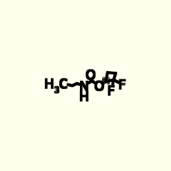 CCCNC(=O)O[C@H]1CCC1(F)F